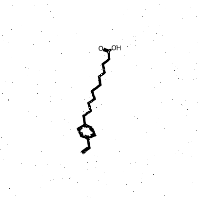 C=Cc1ccc(CCCCCCCCCCC(=O)O)cc1